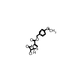 COc1ccc(COC(=O)C2=CS[C@H]3C(Cl)C(=O)N23)cc1